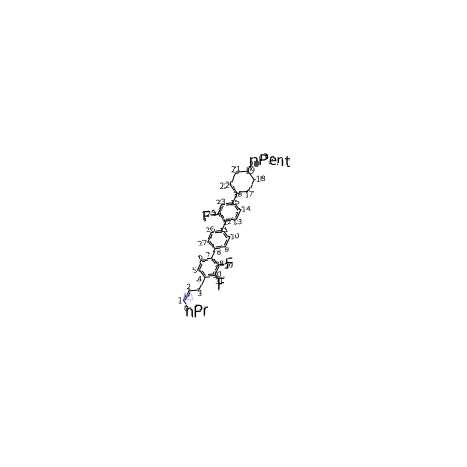 CCC/C=C\Cc1ccc(-c2ccc(-c3ccc(C4CCC(CCCCC)CC4)cc3F)cc2)c(F)c1F